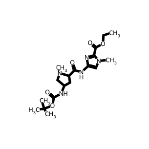 CCOC(=O)c1nc(NC(=O)C2CC(NC(=O)OC(C)(C)C)CN2C)cn1C